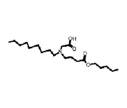 CCCCCCCCCN(CCCC(=O)OCCCCC)CC(=O)O